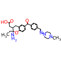 CCC1(N)Oc2ccc(C(=O)c3ccc(C=NN4CCN(C)CC4)cc3)cc2CC1CC(=O)O